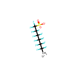 CC(F)(F)C(F)(F)C(F)(F)C(F)(F)C(F)(F)C(F)(F)S(=O)(=O)[O-].[Li+]